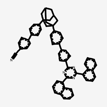 N#Cc1ccc(-c2ccc(C34CC5CC(C3)CC(c3ccc(-c6ccc(-c7nc(-c8cccc9ccccc89)nc(-c8cccc9ccccc89)n7)cc6)cc3)(C5)C4)cc2)cc1